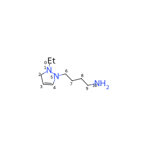 CCN1CC=CN1CCCCN